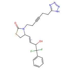 O=C1SCC(/C=C/C(O)C(F)(F)c2ccccc2)N1CCC#CCCc1nnn[nH]1